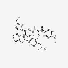 CCn1cc(-c2ccnc3[nH]c(-c4ccc(CN(C)C)cc4)cc23)c(-c2cccc(NC(=O)Nc3ccc(OC)cc3)c2)n1